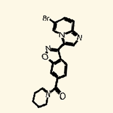 O=C(c1ccc2c(-c3cnc4ccc(Br)cn34)noc2c1)N1CCCCC1